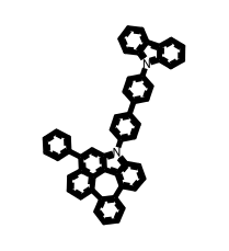 c1ccc(-c2cc3c4c5c(cccc25)-c2ccccc2-c2cccc(c24)n3-c2ccc(-c3ccc(-n4c5ccccc5c5ccccc54)cc3)cc2)cc1